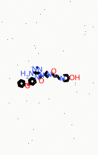 Nc1ncnc2c1n(-c1ccc(Oc3ccccc3)cc1)c(=O)n2C1CN(C(=O)/C=C/CN2CCC(O)CC2)C1